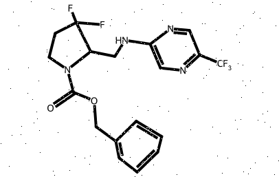 O=C(OCc1ccccc1)N1CCC(F)(F)C1CNc1cnc(C(F)(F)F)cn1